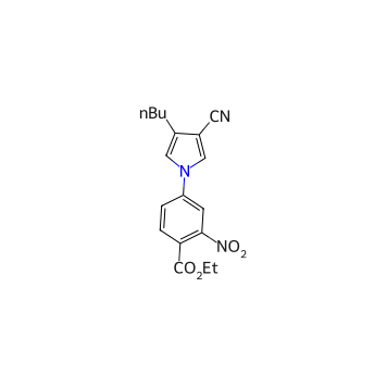 CCCCc1cn(-c2ccc(C(=O)OCC)c([N+](=O)[O-])c2)cc1C#N